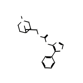 C[N+]12CCC(CC1)C(COC(=O)Nc1ncsc1-c1ccccc1)C2